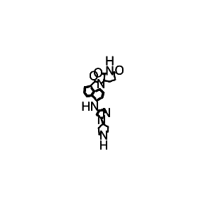 O=C1CCC(N2C(=O)c3cccc4c(Nc5cnn(C6CCNCC6)c5)ccc2c34)C(=O)N1